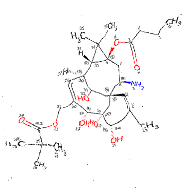 CCCC(=O)O[C@@]12C[C@@H](N)[C@]34C=C(C)[C@H](O)[C@@]3(O)[C@H](O)C(COC(=O)C(C)(C)C)=C[C@H](C4O)[C@@H]1C2(C)C